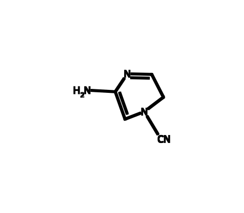 N#CN1C=C(N)N=CC1